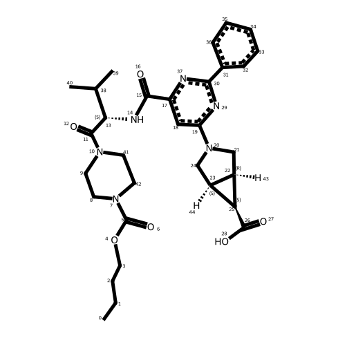 CCCCOC(=O)N1CCN(C(=O)[C@@H](NC(=O)c2cc(N3C[C@@H]4[C@H](C3)[C@@H]4C(=O)O)nc(-c3ccccc3)n2)C(C)C)CC1